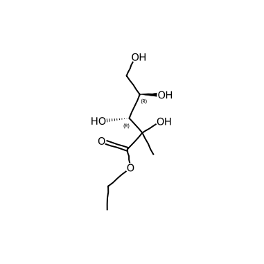 CCOC(=O)C(C)(O)[C@H](O)[C@H](O)CO